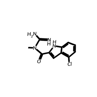 CN(C(=N)N)C(=O)c1cc2c(Cl)cccc2[nH]1